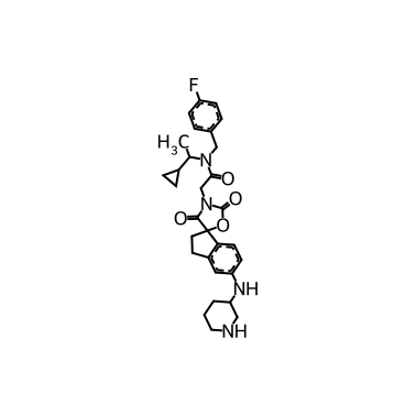 CC(C1CC1)N(Cc1ccc(F)cc1)C(=O)CN1C(=O)OC2(CCc3cc(NC4CCCNC4)ccc32)C1=O